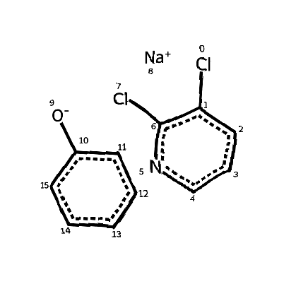 Clc1cccnc1Cl.[Na+].[O-]c1ccccc1